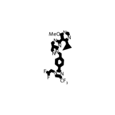 COc1ncnc(C2CC2)c1-c1ncc2cnn(Cc3ccc(-c4nc(C(F)(F)F)cn4CC(F)F)cc3)c2n1